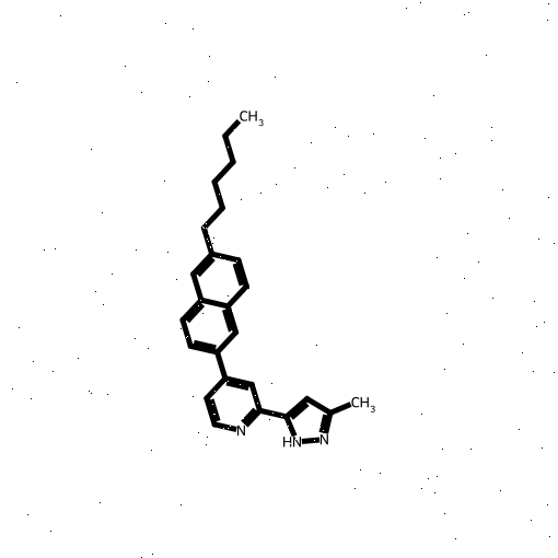 CCCCCCc1ccc2cc(-c3ccnc(-c4cc(C)n[nH]4)c3)ccc2c1